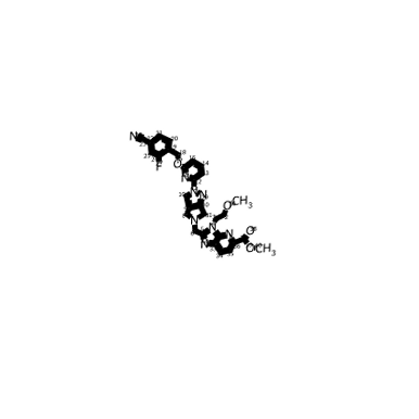 COCCn1c(CN2Cc3cn(-c4cccc(OCc5ccc(C#N)cc5F)n4)nc3C2)nc2ccc(C(=O)OC)nc21